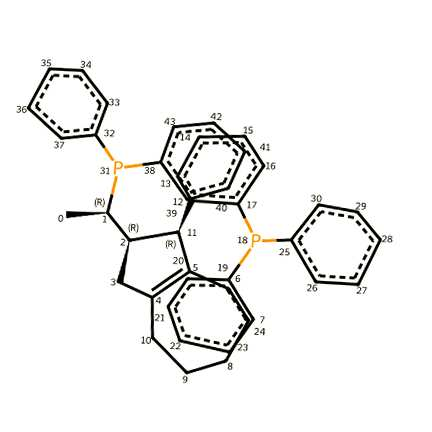 C[C@H]([C@@H]1CC2=C(CCCCC2)[C@@H]1c1ccccc1P(c1ccccc1)c1ccccc1)P(c1ccccc1)c1ccccc1